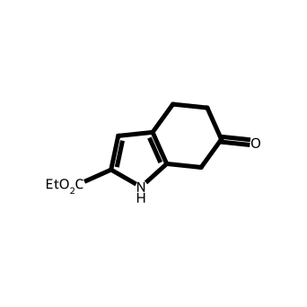 CCOC(=O)c1cc2c([nH]1)CC(=O)CC2